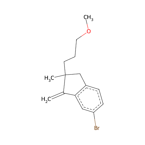 C=C1c2cc(Br)ccc2CC1(C)CCCOC